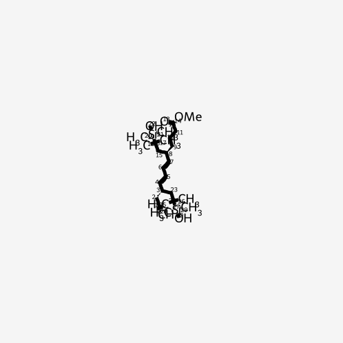 C#CC[C@H](/C=C/C=C/[C@H](CCCC(=O)OC)CC(C)(C)[Si](C)(C)O)CC(C)(C)[Si](C)(C)O